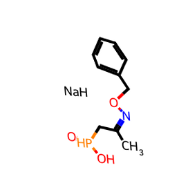 CC(C[PH](=O)O)=NOCc1ccccc1.[NaH]